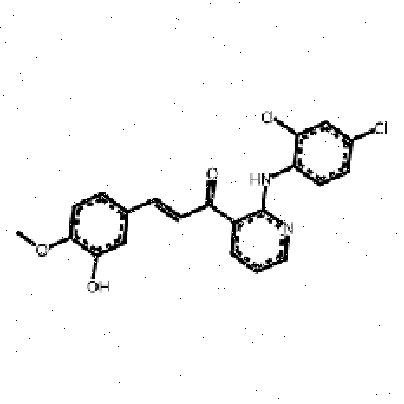 COc1ccc(C=CC(=O)c2cccnc2Nc2ccc(Cl)cc2Cl)cc1O